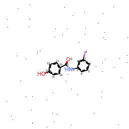 O=C(Nc1cccc(I)c1)c1ccc(O)cc1